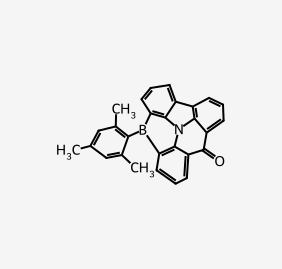 Cc1cc(C)c(B2c3cccc4c(=O)c5cccc6c7cccc2c7n(c34)c56)c(C)c1